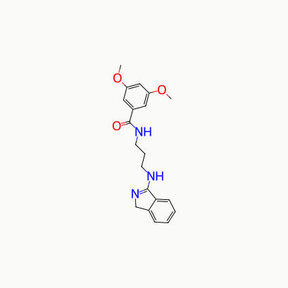 COc1cc(OC)cc(C(=O)NCCCNC2=NCc3ccccc32)c1